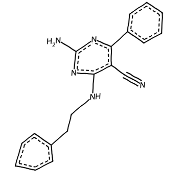 N#Cc1c(NCCc2ccccc2)nc(N)nc1-c1ccccc1